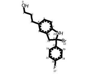 OCCCc1ccc2c(c1)[CH]C(Br)(c1ccc(F)cc1)N2